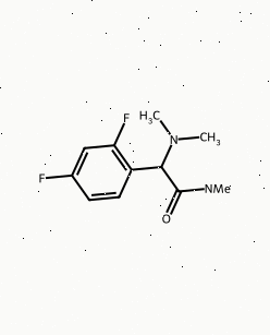 CNC(=O)C(c1ccc(F)cc1F)N(C)C